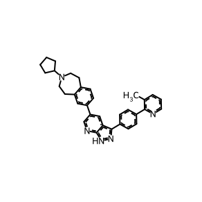 Cc1cccnc1-c1ccc(-c2n[nH]c3ncc(-c4ccc5c(c4)CCN(C4CCCC4)CC5)cc23)cc1